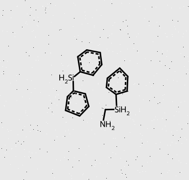 NC[SiH2]c1ccccc1.c1ccc([SiH2]c2ccccc2)cc1